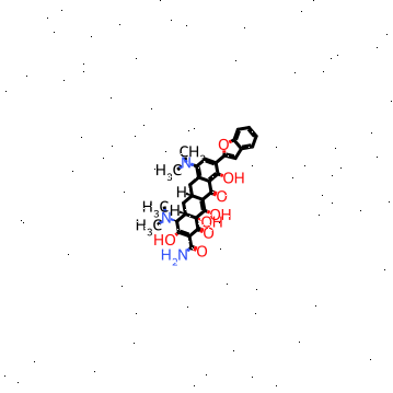 CN(C)c1cc(-c2cc3ccccc3o2)c(O)c2c1C[C@H]1C[C@H]3[C@H](N(C)C)C(O)=C(C(N)=O)C(=O)[C@@]3(O)C(O)=C1C2=O